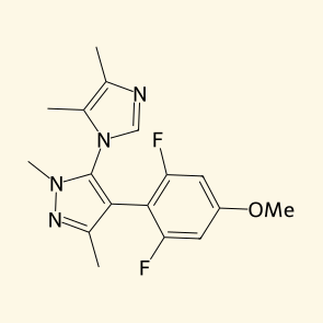 COc1cc(F)c(-c2c(C)nn(C)c2-n2cnc(C)c2C)c(F)c1